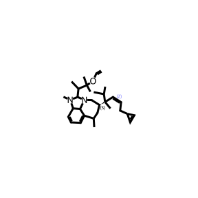 C=COC(C)(C)C(C)C1N(C)C2C=CC=C3C(C)C[C@@H](C(C)(/C=C\CC4C=C4)C(C)C)CN1C32